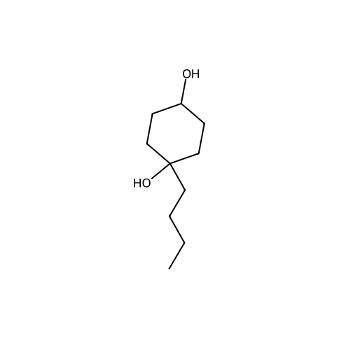 CCCCC1(O)CCC(O)CC1